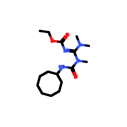 CCOC(=O)N=C(N(C)C)N(C)C(=O)NC1CCCCCCC1